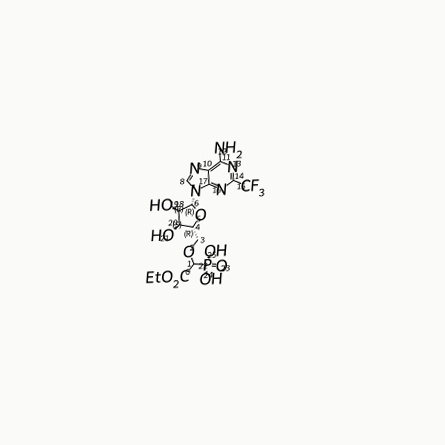 CCOC(=O)C(OC[C@H]1O[C@@H](n2cnc3c(N)nc(C(F)(F)F)nc32)[C@H](O)[C@@H]1O)P(=O)(O)O